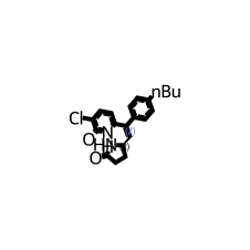 CCCCc1ccc(/C(=C/[C@H]2CCC(=O)N2)c2ccc(Cl)c(=O)[nH]2)cc1